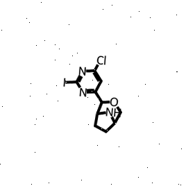 Clc1cc(C2OCC3CCC2N3)nc(I)n1